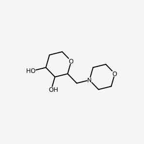 OC1CCOC(CN2CCOCC2)C1O